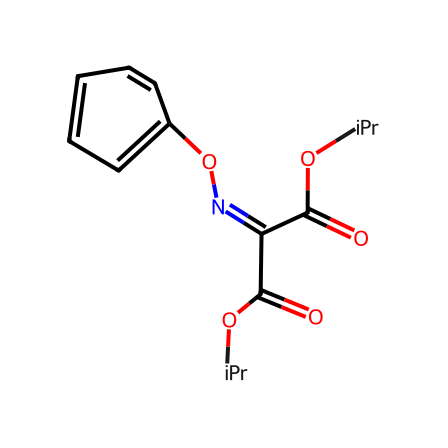 CC(C)OC(=O)C(=NOc1ccccc1)C(=O)OC(C)C